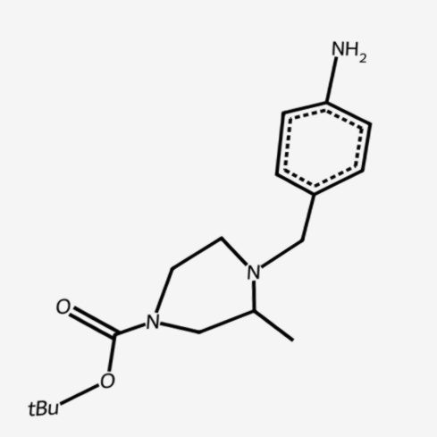 CC1CN(C(=O)OC(C)(C)C)CCN1Cc1ccc(N)cc1